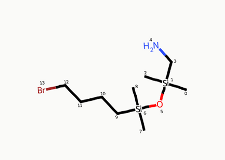 C[Si](C)(CN)O[Si](C)(C)CCCCBr